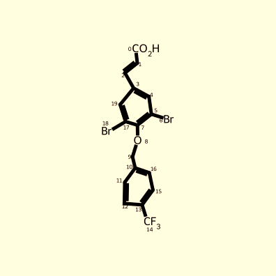 O=C(O)/C=C/c1cc(Br)c(OCc2ccc(C(F)(F)F)cc2)c(Br)c1